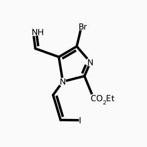 CCOC(=O)c1nc(Br)c(C=N)n1/C=C\I